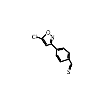 S=Cc1ccc(-c2cc(Cl)on2)cc1